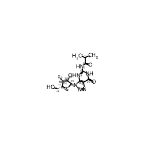 CC(C)C(=O)Nc1nc2c(nnn2[C@@H]2S[C@H](CO)[C@@H](F)[C@H]2O)c(=O)[nH]1